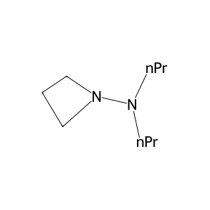 CCCN(CCC)N1CCC1